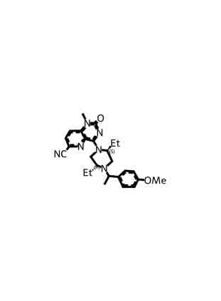 CC[C@H]1CN(C(C)c2ccc(OC)cc2)[C@H](CC)CN1c1nc(=O)n(C)c2ccc(C#N)nc12